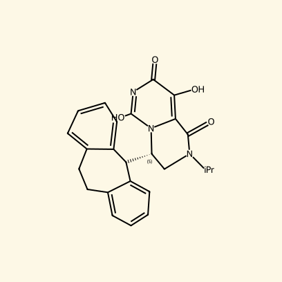 CC(C)N1C[C@H](C2c3ccccc3CCc3ccccc32)n2c(O)nc(=O)c(O)c2C1=O